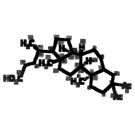 CC(=O)C1(C(C)=O)CC[C@]2(C)C(CC[C@H]3[C@@H]4CC[C@H]([C@H](C)CCC(=O)O)[C@@]4(C)CC[C@@H]32)C1